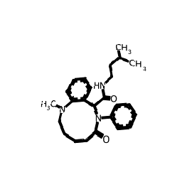 CC(C)CCNC(=O)C1c2ccccc2N(C)CCCCC(=O)N1c1ccccc1